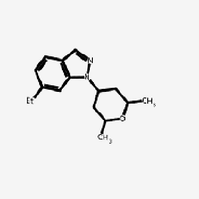 CCc1ccc2cnn(C3CC(C)OC(C)C3)c2c1